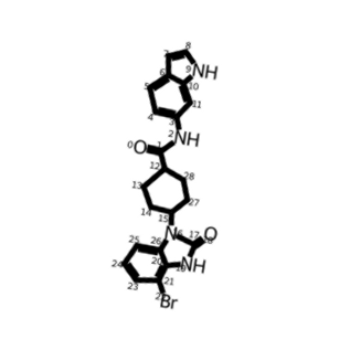 O=C(Nc1ccc2cc[nH]c2c1)C1CCC(n2c(=O)[nH]c3c(Br)cccc32)CC1